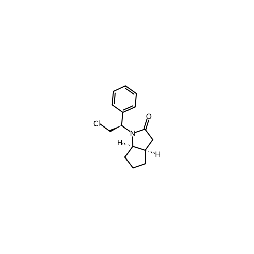 O=C1C[C@H]2CCC[C@H]2N1[C@@H](CCl)c1ccccc1